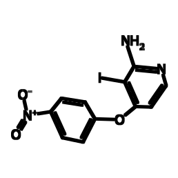 Nc1nccc(Oc2ccc([N+](=O)[O-])cc2)c1I